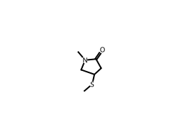 CSC1CC(=O)N(C)C1